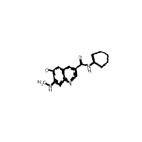 CNc1cc2ncc(C(=O)NC3CCCCC3)cc2cc1Cl